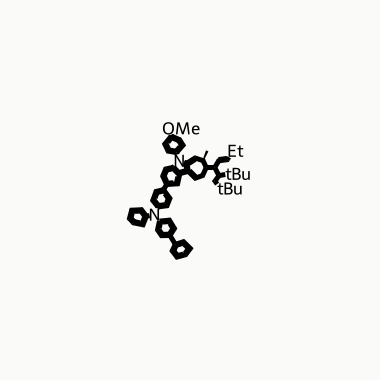 CCC=CC(C1CC=c2c(n(-c3ccc(OC)cc3)c3ccc(-c4ccc(N(c5ccccc5)c5ccc(-c6ccccc6)cc5)cc4)cc23)=C[C@H]1C)C(CC(C)(C)C)C(C)(C)C